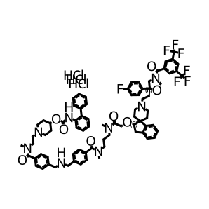 CN(CCCN(C)C(=O)c1ccc(CNCc2ccc(C(=O)N(C)CCN3CCC(OC(=O)Nc4ccccc4-c4ccccc4)CC3)cc2)cc1)C(=O)CO[C@H]1Cc2ccccc2C12CCN(CC[C@@]1(c3ccc(F)cc3)CN(C(=O)c3cc(C(F)(F)F)cc(C(F)(F)F)c3)CO1)CC2.Cl.Cl.Cl